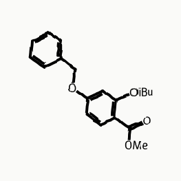 COC(=O)c1ccc(OCc2ccccc2)cc1OCC(C)C